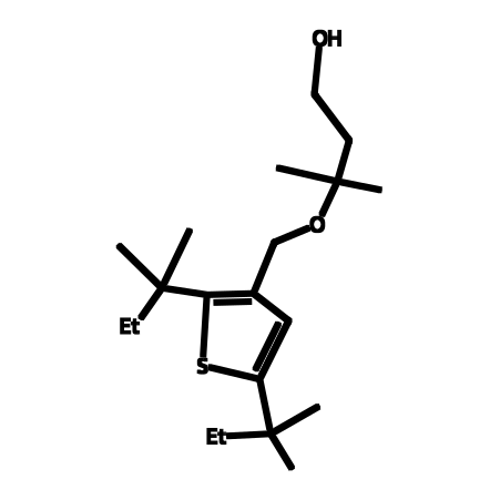 CCC(C)(C)c1cc(COC(C)(C)CCO)c(C(C)(C)CC)s1